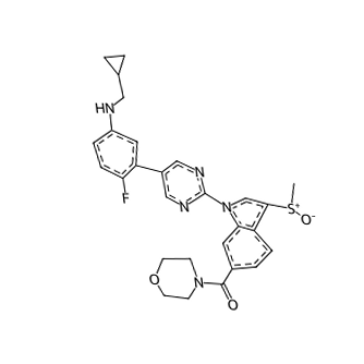 C[S+]([O-])c1cn(-c2ncc(-c3cc(NCC4CC4)ccc3F)cn2)c2cc(C(=O)N3CCOCC3)ccc12